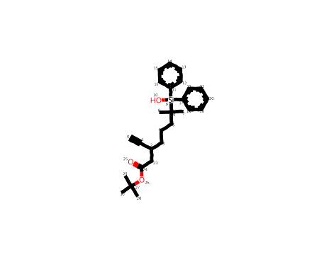 C#CC(CCCC(C)(C)[Si](O)(c1ccccc1)c1ccccc1)CC(=O)OC(C)(C)C